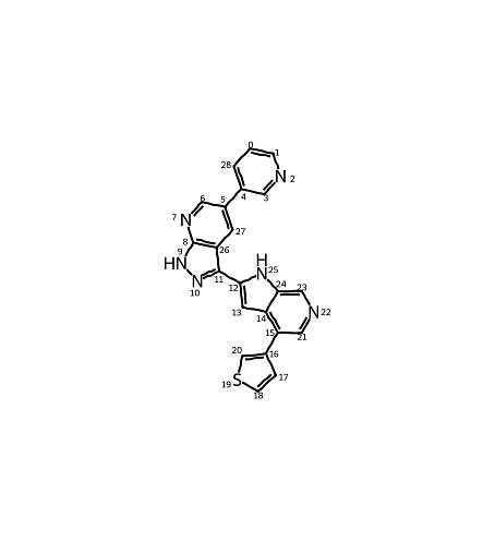 c1cncc(-c2cnc3[nH]nc(-c4cc5c(-c6ccsc6)cncc5[nH]4)c3c2)c1